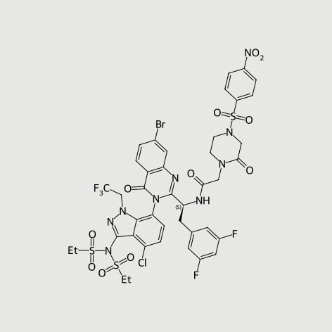 CCS(=O)(=O)N(c1nn(CC(F)(F)F)c2c(-n3c([C@H](Cc4cc(F)cc(F)c4)NC(=O)CN4CCN(S(=O)(=O)c5ccc([N+](=O)[O-])cc5)CC4=O)nc4cc(Br)ccc4c3=O)ccc(Cl)c12)S(=O)(=O)CC